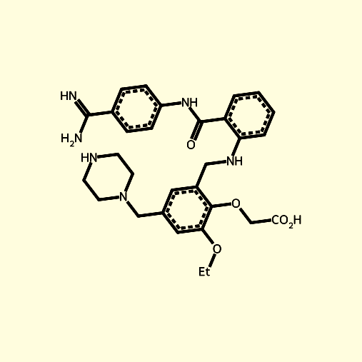 CCOc1cc(CN2CCNCC2)cc(CNc2ccccc2C(=O)Nc2ccc(C(=N)N)cc2)c1OCC(=O)O